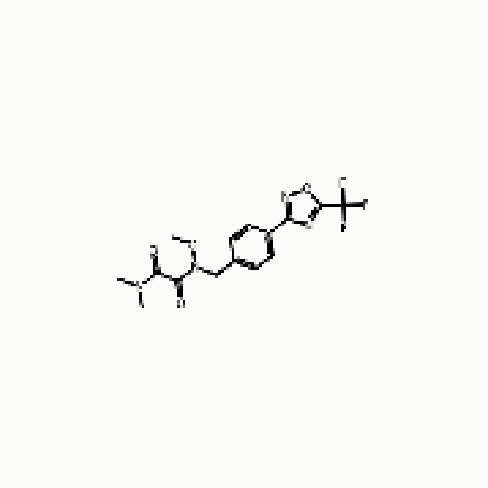 CON(Cc1ccc(-c2noc(C(F)(F)F)n2)cc1)C(=O)C(=O)N(C)C